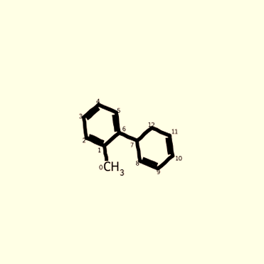 Cc1ccccc1C1C=CC=CC1